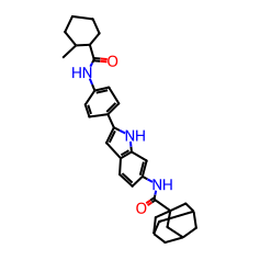 CC1CCCCC1C(=O)Nc1ccc(-c2cc3ccc(NC(=O)C45CC6CC(CC(C6)C4)C5)cc3[nH]2)cc1